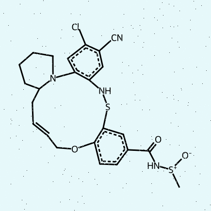 C[S+]([O-])NC(=O)c1ccc2c(c1)SNc1cc(C#N)c(Cl)cc1N1CCCCC1C/C=C/CO2